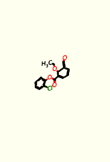 CCOC1C(=C=O)C=CC=C1C(=O)Oc1ccccc1Cl